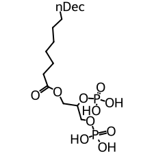 CCCCCCCCCCCCCCCCC(=O)OCC(COP(=O)(O)O)OP(=O)(O)O